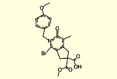 COC(=O)C1(C(=O)O)Cc2c(c(Br)n(Cc3ccc(OC)cc3)c(=O)c2C)C1